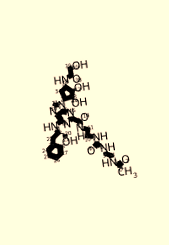 CC(=O)NCCNC(=O)NCCNC(=O)c1nc(N[C@H](CO)Cc2ccccc2)c2ncn([C@@H]3C[C@H](NC(=O)CO)[C@@H](O)[C@H]3O)c2n1